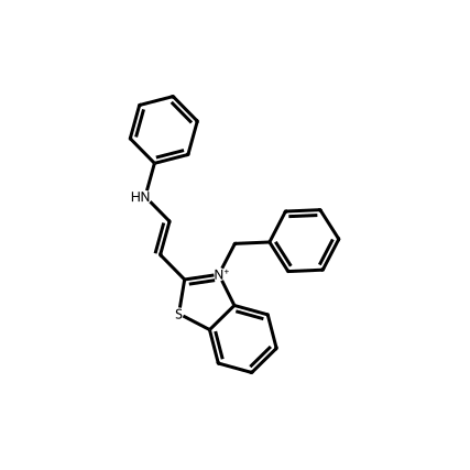 C(=C\c1sc2ccccc2[n+]1Cc1ccccc1)/Nc1ccccc1